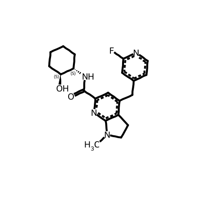 CN1CCc2c(Cc3ccnc(F)c3)cc(C(=O)N[C@H]3CCCC[C@@H]3O)nc21